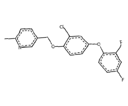 Cc1ccc(COc2ccc(Oc3ccc(F)cc3F)cc2Cl)cn1